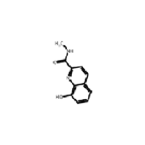 CNC(=O)c1ccc2cccc(O)c2n1